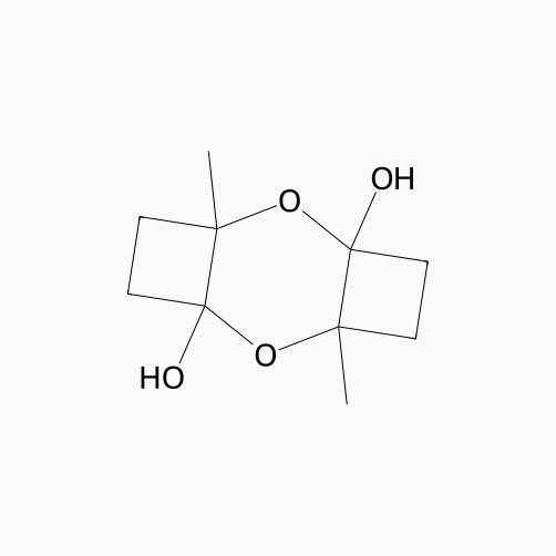 CC12CCC1(O)OC1(C)CCC1(O)O2